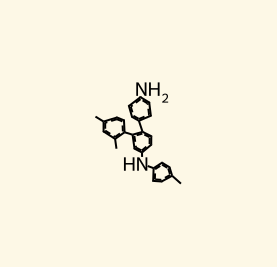 Cc1ccc(Nc2ccc(-c3ccc(N)cc3)c(-c3ccc(C)cc3C)c2)cc1